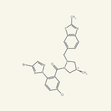 Cc1nc2ccc(CN3C[C@@H](C)CN3C(=O)c3cc(Cl)ccc3-n3ncc(Br)n3)cc2s1